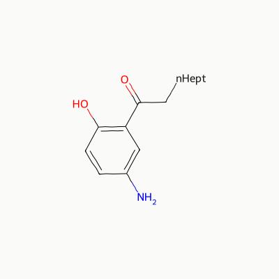 CCCCCCCCC(=O)c1cc(N)ccc1O